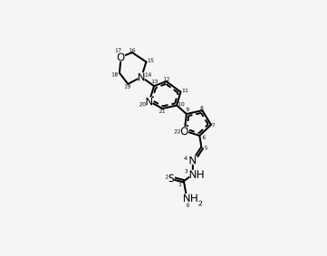 NC(=S)NN=Cc1ccc(-c2ccc(N3CCOCC3)nc2)o1